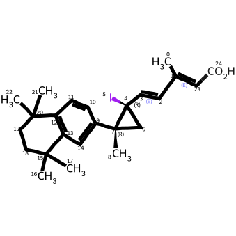 CC(/C=C/[C@]1(I)C[C@]1(C)c1ccc2c(c1)C(C)(C)CCC2(C)C)=C\C(=O)O